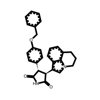 O=C1NC(=O)[C@H](c2cn3c4c(cccc24)CCC3)[C@H]1c1ccc(OCc2ccccc2)cc1